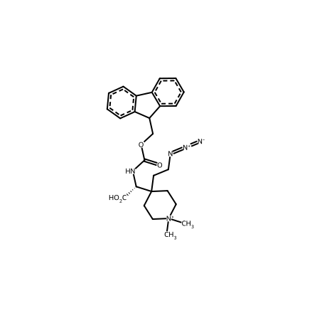 C[N+]1(C)CCC(CCN=[N+]=[N-])([C@@H](NC(=O)OCC2c3ccccc3-c3ccccc32)C(=O)O)CC1